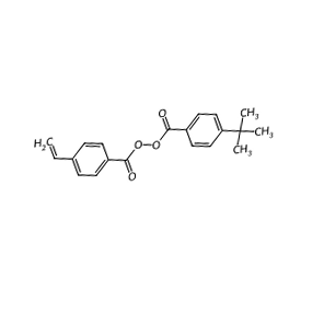 C=Cc1ccc(C(=O)OOC(=O)c2ccc(C(C)(C)C)cc2)cc1